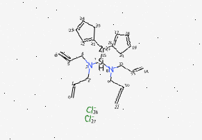 C=CCN(CC=C)[SiH](N(CC=C)CC=C)[Zr+2]([C]1=CC=CC1)[C]1=CC=CC1.[Cl-].[Cl-]